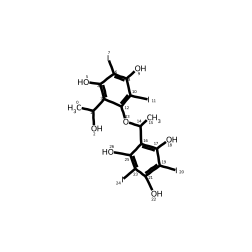 CC(O)c1c(O)c(I)c(O)c(I)c1OC(C)c1c(O)c(I)c(O)c(I)c1O